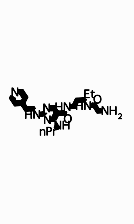 CCCNc1nc(NCCc2ccncc2)ncc1C(=O)NCCC(CC)NC(=O)CN